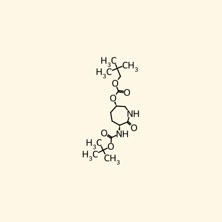 CC(C)(C)COC(=O)O[C@@H]1CC[C@H](NC(=O)OC(C)(C)C)C(=O)NC1